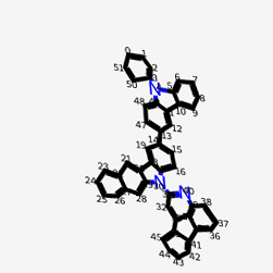 c1ccc(-n2c3ccccc3c3cc(-c4ccc5c(c4)c4cc6ccccc6cc4n5-c4cc5c6c(cccc6n4)-c4ccccc4-5)ccc32)cc1